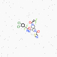 O=C(c1cncs1)N1CC(c2nnc(C(F)(F)c3ccc(Cl)c(Cl)c3)o2)C2(CCN(C(=O)[C@H]3CC3(F)F)CC2)C1